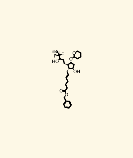 CCCCC(F)(F)C(O)CC[C@@H]1[C@@H](CC=CCCCC(=O)OCc2ccccc2)[C@H](O)C[C@H]1OC1CCCCO1